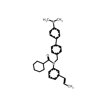 CC=Cc1cccc(N(Cc2ccc(-c3ccc(N(C)C)cc3)cc2)C(=O)C2CCCCC2)c1